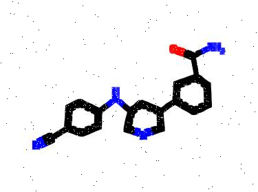 N#Cc1ccc(Nc2cncc(-c3cccc(C(N)=O)c3)c2)cc1